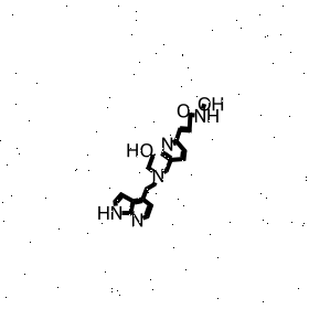 O=C(/C=C/c1ccc(CN(CCO)CCc2ccnc3[nH]ccc23)cn1)NO